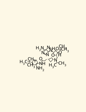 CC(C)N(C[C@H]1O[C@@H](n2cnc3c(N)ncnc32)[C@@H]2OC(C)(C)O[C@@H]21)[C@H]1C[C@@H](CCC(=O)Nc2ccc(C(C)(C)C)cc2N)C1